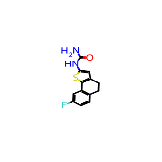 NC(=O)Nc1cc2c(s1)-c1cc(F)ccc1CC2